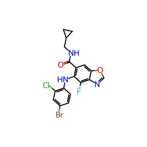 O=C(NCC1CC1)c1cc2ocnc2c(F)c1Nc1ccc(Br)cc1Cl